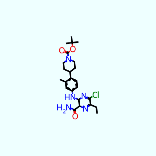 CCC1=NC(C(N)=O)C(Nc2ccc(C3CCN(C(=O)OC(C)(C)C)CC3)c(C)c2)N=C1Cl